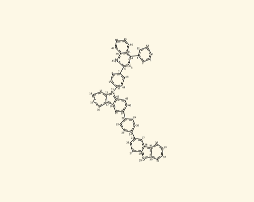 c1ccc(-c2nc(-c3ccc(-n4c5ccccc5c5cc(-c6ccc(-c7ccc8sc9ccccc9c8c7)cc6)ccc54)cc3)nc3ccccc23)cc1